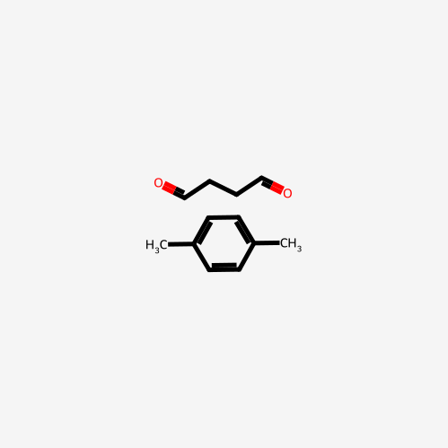 Cc1ccc(C)cc1.O=CCCC=O